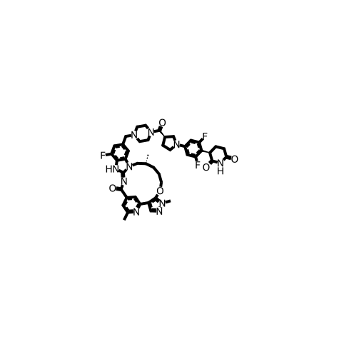 Cc1cc2cc(n1)-c1cnn(C)c1OCCC[C@@H](C)CN1/C(=N/C2=O)Nc2c(F)cc(CN3CCN(C(=O)[C@@H]4CCN(c5cc(F)c([C@H]6CCC(=O)NC6=O)c(F)c5)C4)CC3)cc21